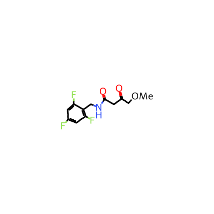 COCC(=O)CC(=O)NCc1c(F)cc(F)cc1F